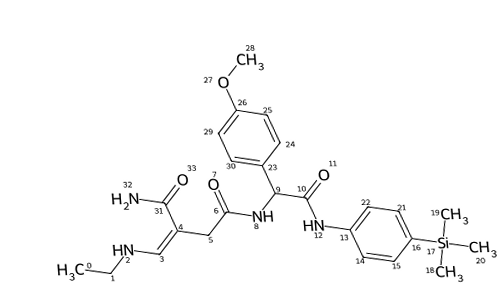 CCN/C=C(/CC(=O)NC(C(=O)Nc1ccc([Si](C)(C)C)cc1)c1ccc(OC)cc1)C(N)=O